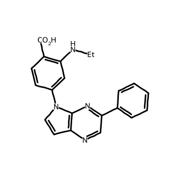 CCNc1cc(-n2ccc3ncc(-c4ccccc4)nc32)ccc1C(=O)O